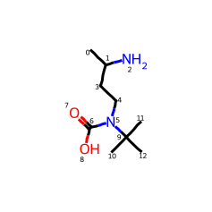 CC(N)CCN(C(=O)O)C(C)(C)C